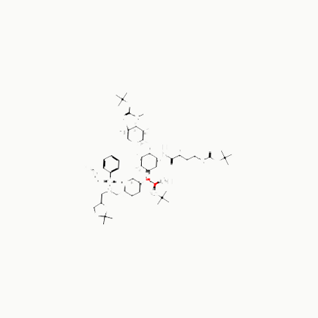 CN(C(=O)OC(C)(C)C)[C@@H]1[C@@H](O)[C@@H](O[C@@H]2[C@@H](O)[C@H](O[C@H]3O[C@H](CN(CC4COC(C)(C)O4)S(=O)(=O)c4ccccc4[N+](=O)[O-])CC[C@H]3NC(=O)O)[C@@H](NC(=O)OC(C)(C)C)C[C@H]2NC(=O)[C@@H](O)CCNC(=O)OC(C)(C)C)OC[C@]1(C)O